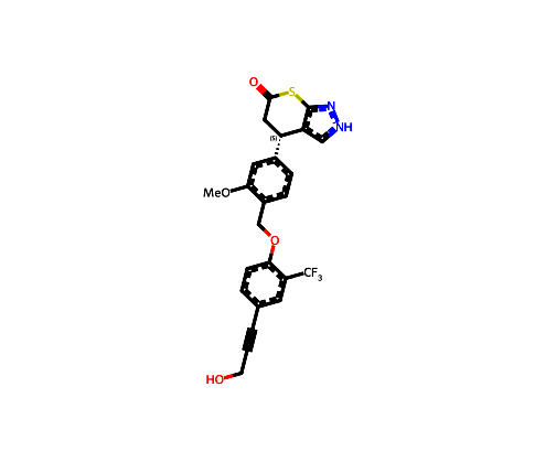 COc1cc([C@@H]2CC(=O)Sc3n[nH]cc32)ccc1COc1ccc(C#CCO)cc1C(F)(F)F